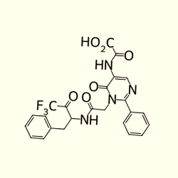 O=C(Cn1c(-c2ccccc2)ncc(NC(=O)C(=O)O)c1=O)NC(Cc1ccccc1)C(=O)C(F)(F)F